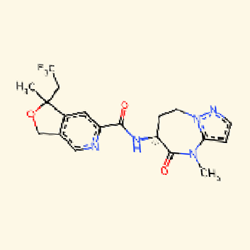 CN1C(=O)[C@@H](NC(=O)c2cc3c(cn2)COC3(C)CC(F)(F)F)CCn2nccc21